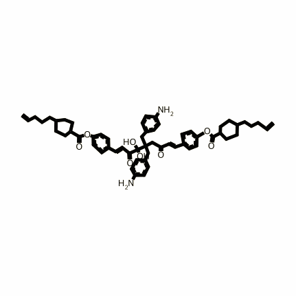 C=CCCCC1CCC(C(=O)Oc2ccc(C=CC(=O)CC(Cc3ccc(N)cc3)(Cc3ccc(N)cc3)C(O)(O)C(=O)C=Cc3ccc(OC(=O)C4CCC(CCCC=C)CC4)cc3)cc2)CC1